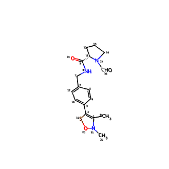 CC1=C(c2ccc(CNC(=O)[C@@H]3CCCN3C=O)cc2)SON1C